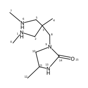 CNCC(C)(CNC)CN1CC(C)NC1=O